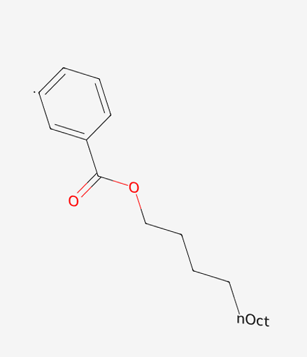 CCCCCCCCCCCCOC(=O)c1c[c]ccc1